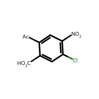 CC(=O)c1cc([N+](=O)[O-])c(Cl)cc1C(=O)O